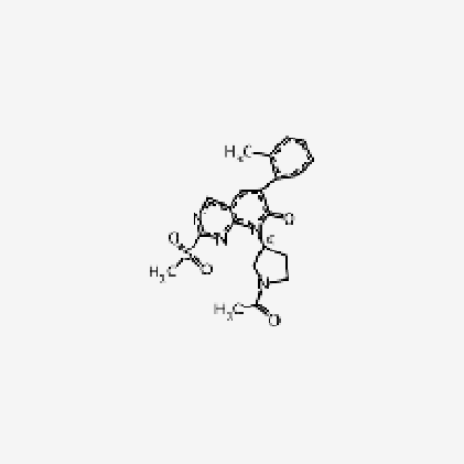 CC(=O)N1CC[C@H](n2c(=O)c(-c3ccccc3C)cc3cnc(S(C)(=O)=O)nc32)C1